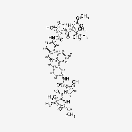 COC(=O)N[C@H](C(=O)N1CC[C@H](O)[C@H]1C(=O)Nc1ccc(CN(Cc2ccc(NC(=O)[C@@H]3[C@@H](O)CCN3C(=O)[C@@H](NC(=O)OC)C(C)(C)C)cc2)c2ccc(F)cc2)cc1)C(C)(C)C